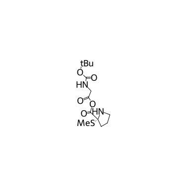 CS[C@@]1(C(=O)OC(=O)CNC(=O)OC(C)(C)C)CCCN1